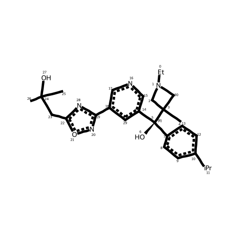 CCN1CC(C)([C@](O)(c2ccc(C(C)C)cc2)c2cncc(-c3noc(CC(C)(C)O)n3)c2)C1